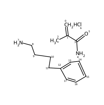 C=C(C)C(N)=O.Cl.NCCCCc1ccccc1